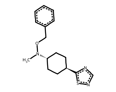 CN(OCc1ccccc1)[C@H]1CC[C@H](c2ncns2)CC1